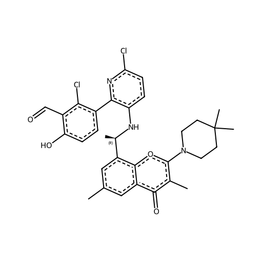 Cc1cc([C@@H](C)Nc2ccc(Cl)nc2-c2ccc(O)c(C=O)c2Cl)c2oc(N3CCC(C)(C)CC3)c(C)c(=O)c2c1